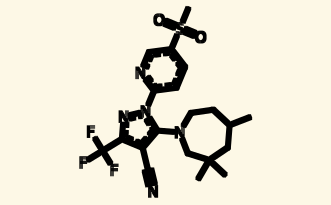 CC1CCN(c2c(C#N)c(C(F)(F)F)nn2-c2ccc(S(C)(=O)=O)cn2)CC(C)(C)C1